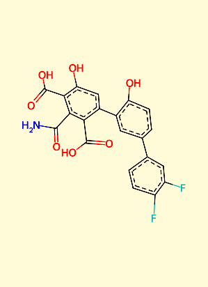 NC(=O)c1c(C(=O)O)c(O)cc(-c2cc(-c3ccc(F)c(F)c3)ccc2O)c1C(=O)O